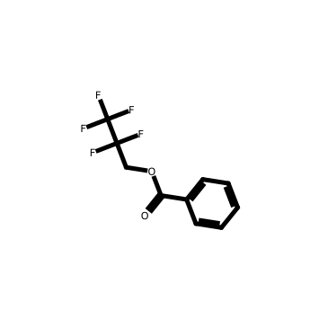 O=C(OCC(F)(F)C(F)(F)F)c1ccccc1